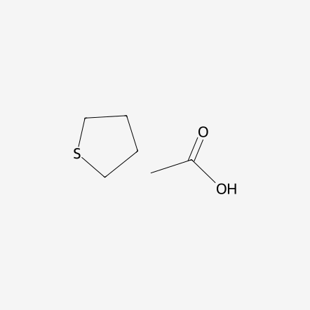 C1CCSC1.CC(=O)O